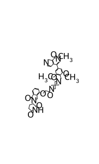 COc1cc(-c2cn(C)c(=O)c3cnccc23)cc(OC)c1CN1CC2(C1)CN(C(=O)COc1cccc3c1CN(C1CCC(=O)NC1=O)C3=O)C2